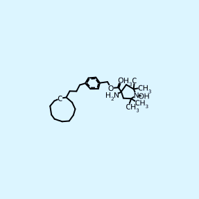 CC1(C)CC(N)(C(=O)OCc2ccc(CCCC3CCCCCCCCCC3)cc2)CC(C)(C)N1O